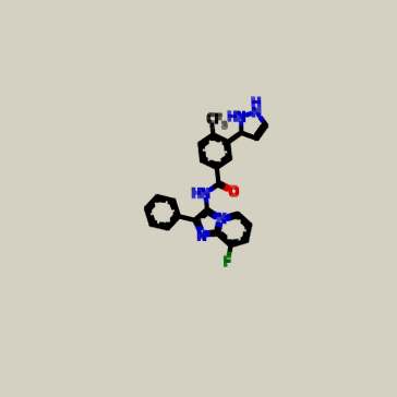 O=C(Nc1c(-c2ccccc2)nc2c(F)cccn12)c1ccc(C(F)(F)F)c(C2C=CNN2)c1